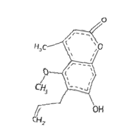 C=CCc1c(O)cc2oc(=O)cc(C)c2c1OC